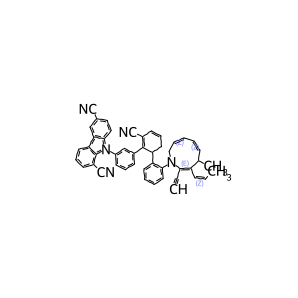 C#C/C1=C(\C=C/C)C(C)/C=C\C=C/CN1c1ccccc1C1CC=CC(C#N)=C1c1cccc(-n2c3ccc(C#N)cc3c3cccc(C#N)c32)c1